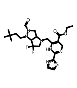 CCOC(=O)C1=C(CN2CC(F)(F)C3C2CN(C=O)N3CCC(C)(C)C)NC(c2nccs2)=NC1